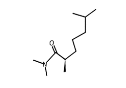 CC(C)CCC[C@@H](C)C(=O)N(C)C